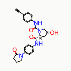 C#Cc1ccc(NC(=O)N2C[C@H](O)C[C@@H]2C(=O)Nc2ccc(N3CCCC3=O)cc2)cc1